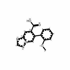 COc1ccccc1-c1cn2ncnc2cc1C(=O)O